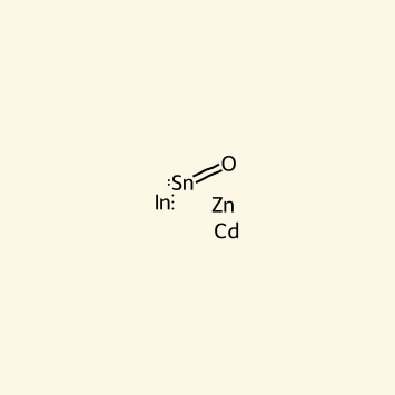 [Cd].[In].[O]=[Sn].[Zn]